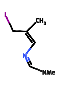 CN/C=N\C=C(\C)CI